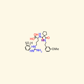 COc1cccc(CCNC(=O)C2(C(=O)NC(CCCNC(=N)N)B(O)O)CCCC2)c1.O=S(=O)(O)c1ccccc1